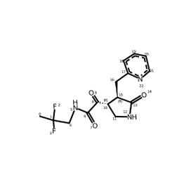 CC(F)(F)CNC(=O)C(=O)[C@H]1CNC(=O)[C@@H]1Cc1ccccn1